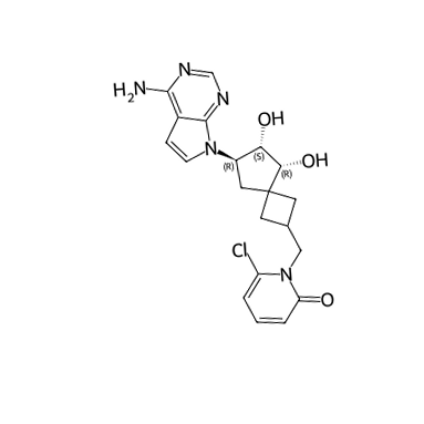 Nc1ncnc2c1ccn2[C@@H]1CC2(CC(Cn3c(Cl)cccc3=O)C2)[C@@H](O)[C@H]1O